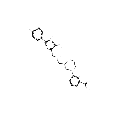 COC(=O)c1cccc(N2CCOC(COCc3sc(-c4ccc(Cl)cc4)nc3C)C2)c1